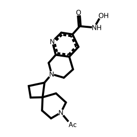 CC(=O)N1CCC2(CCC2N2CCc3cc(C(=O)NO)cnc3C2)CC1